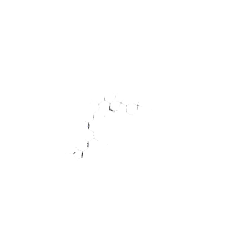 COC(=O)C(C(O)C(C)CCC/C(C)=C\CC(C)/C(C)=C/c1csc(C)n1)[S+]([O-])C(C)(C)C1CCOC(C)(C)O1